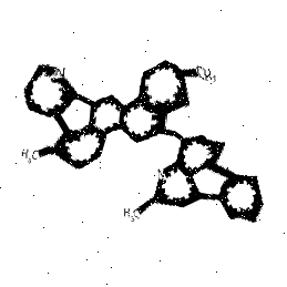 Cc1ccc2c(c1)c(-c1ccc3c4c(cc(C)nc14)-c1ccccc1-3)cc1c3ccc(C)c4c3c(cc21)-c1ncccc1-4